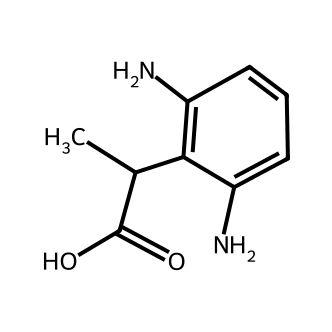 CC(C(=O)O)c1c(N)cccc1N